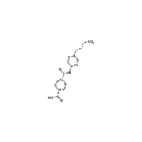 CCCCc1ccc(/N=[N+](\[O-])c2ccc(C(=O)O)cc2)cc1